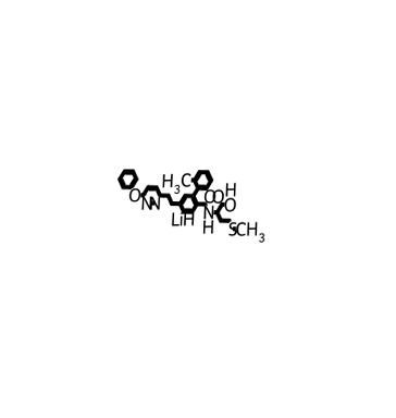 CSCCC(NC(=O)c1ccc(CCc2ccc(Oc3ccccc3)nn2)cc1-c1ccccc1C)C(=O)O.[LiH]